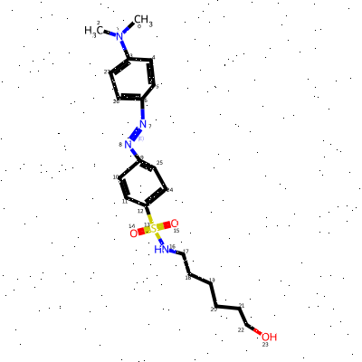 CN(C)c1ccc(/N=N/c2ccc(S(=O)(=O)NCCCCCCO)cc2)cc1